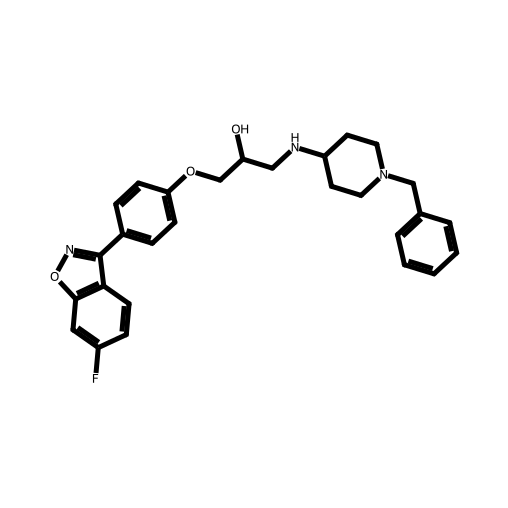 OC(CNC1CCN(Cc2ccccc2)CC1)COc1ccc(-c2noc3cc(F)ccc23)cc1